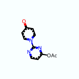 CC(=O)Oc1ccnc(-n2ccc(=O)cc2)n1